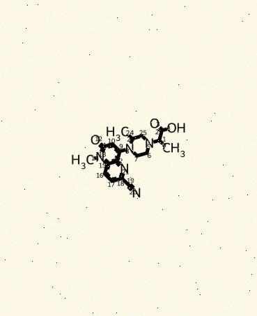 CC(C(=O)O)N1CCN(c2cc(=O)n(C)c3ccc(C#N)nc23)C(C)C1